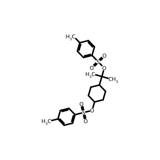 Cc1ccc(S(=O)(=O)OC2CCC(C(C)(C)OS(=O)(=O)c3ccc(C)cc3)CC2)cc1